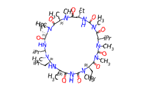 CCC1NC(=O)N(C)C(=O)C(C(C)C)N(C)C(=O)N(C)C(=O)[C@@H](CC(C)C)N(C)C(=O)NC(=O)[C@@H](C)N[C@@H](CC(C)C)N(C)C(C(C)C)NC(=O)[C@H](CC(C)C)N(C)C(=O)[C@@H](C)N(C)C1=O